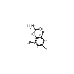 Cc1cc(F)c(OC(N)=O)c(F)c1